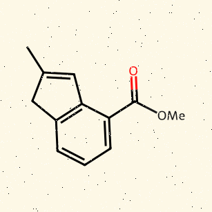 COC(=O)c1cccc2c1C=C(C)C2